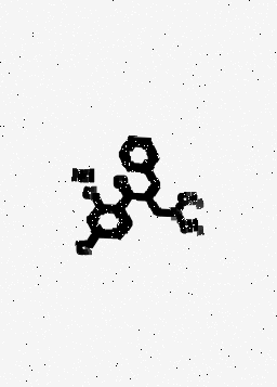 CN(C)C[C@H](Cc1ccccc1)C(=O)c1ccc(Cl)cc1Cl.Cl